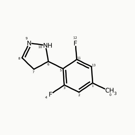 Cc1cc(F)c(C2CC=NN2)c(F)c1